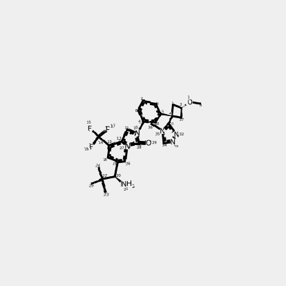 CO[C@H]1C[C@@](c2cccc(-n3cc4c(C(F)(F)F)cc([C@@H](N)C(C)(C)C)cn4c3=O)c2)(c2nncn2C)C1